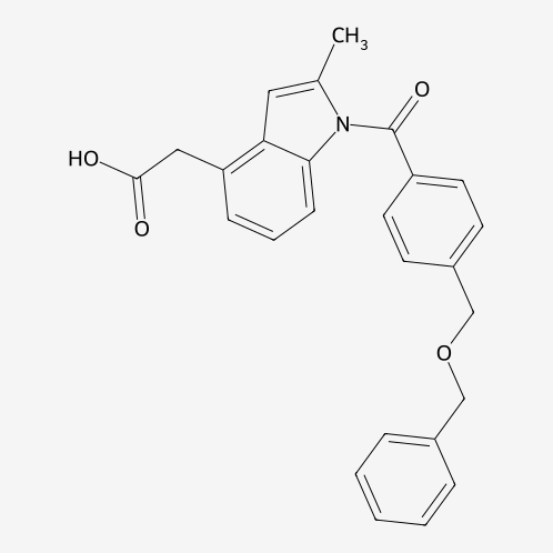 Cc1cc2c(CC(=O)O)cccc2n1C(=O)c1ccc(COCc2ccccc2)cc1